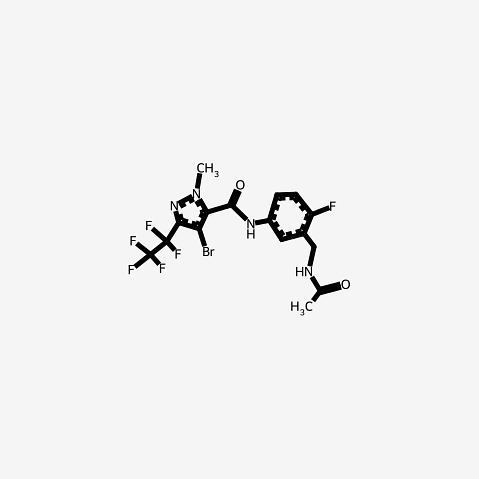 CC(=O)NCc1cc(NC(=O)c2c(Br)c(C(F)(F)C(F)(F)F)nn2C)ccc1F